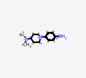 CC(=O)N(C)C1CCN(c2ccc(N)cc2)CC1